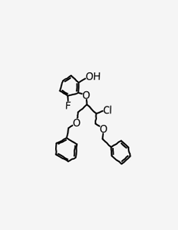 Oc1cccc(F)c1OC(COCc1ccccc1)C(Cl)COCc1ccccc1